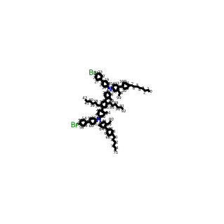 CCCCCCCCc1ccc(-c2ccc(N(c3ccc(-c4ccc(Br)cc4)cc3)c3ccc(-c4cc(CCCCCC)c(-c5ccc(N(c6ccc(-c7ccc(Br)cc7)cc6)c6ccc(-c7ccc(CCCCCC)cc7)c(CC)c6)cc5C)cc4CCCCCC)c(C)c3)cc2CC)cc1